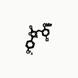 COc1ccc(Cl)cc1Cn1nc(-c2ccc(C(F)(F)F)cc2)oc1=O